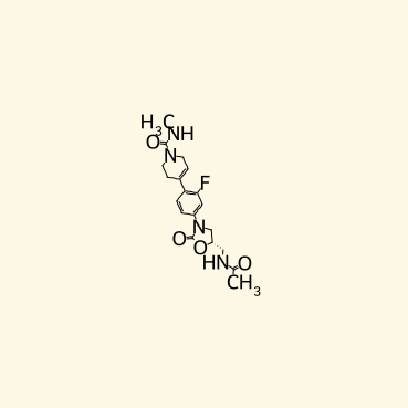 CNC(=O)N1CC=C(c2ccc(N3C[C@H](CNC(C)=O)OC3=O)cc2F)CC1